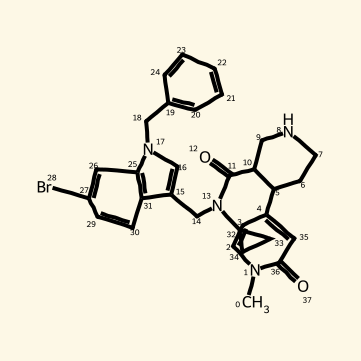 Cn1ccc(C2CCNCC2C(=O)N(Cc2cn(Cc3ccccc3)c3cc(Br)ccc23)C2CC2)cc1=O